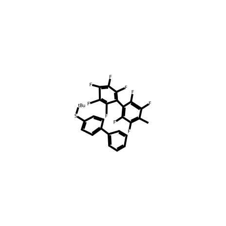 CC(C)(C)Sc1ccc(-c2ccccc2)cc1.Cc1c(F)c(F)c(-c2c(F)c(F)c(F)c(F)c2F)c(F)c1F